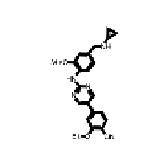 CCOc1cc(-c2cnc(Nc3ccc(CNC4CC4)cc3OC)nc2)ccc1C#N